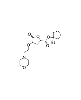 CCC1(OC(=O)C2CC(OCCN3CCOCC3)C(=O)O2)CCCC1